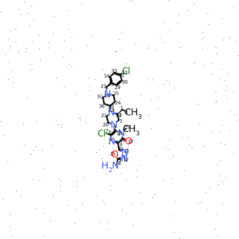 CC[C@H]1CN(c2c(Cl)nc(-c3nnc(N)o3)c(=O)n2C)CCN1C1CCN(Cc2ccc(Cl)cc2)CC1